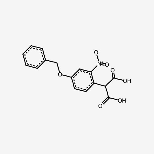 O=C(O)C(C(=O)O)c1ccc(OCc2ccccc2)cc1[N+](=O)[O-]